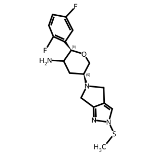 CSn1cc2c(n1)CN([C@@H]1CO[C@H](c3cc(F)ccc3F)C(N)C1)C2